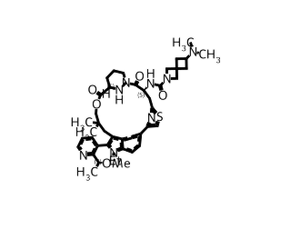 CCn1c(-c2cccnc2[C@H](C)OC)c2c3cc(ccc31)-c1csc(n1)C[C@H](NC(=O)N1CC3(CC(N(C)C)C3)C1)C(=O)N1CCC[C@H](N1)C(=O)OCC(C)(C)C2